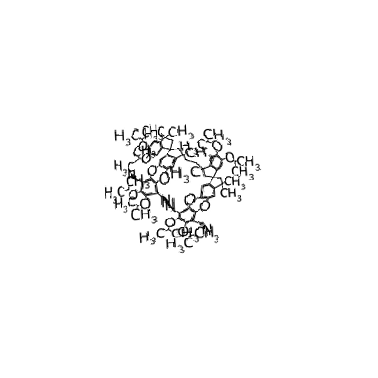 CC(C)Oc1cc2c(cc1OC(C)C)C1(CC2(C)C)CC(C)(CCC2(C)CC3(CC(C)(C)c4cc5c(cc43)Oc3c(C#N)c(OC(C)C)c(OC(C)C)c(C#N)c3O5)c3cc(OC(C)C)c(OC(C)C)cc32)c2cc3c(cc21)Oc1c(C#N)c(OC(C)C)c(OC(C)C)c(C#N)c1O3